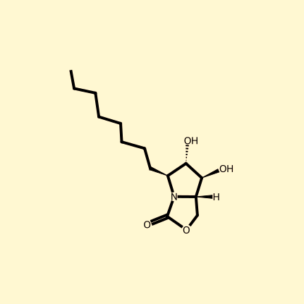 CCCCCCCC[C@H]1[C@H](O)[C@@H](O)[C@@H]2COC(=O)N12